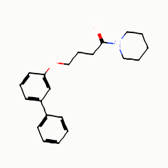 O=C(CCCOc1cccc(-c2cc[c]cc2)c1)N1CCCCC1